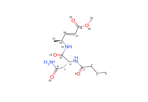 CCCC(=O)N[C@H](CC(N)=O)C(=O)N[C@@H](C)/C=C/C(=O)OC